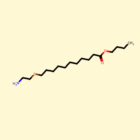 CCCCOC(=O)CCCCCCCCCCSCCN